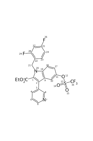 CCOC(=O)c1c(-c2cccnc2)c2cc(OS(=O)(=O)C(F)(F)F)ccc2n1Cc1ccc(F)cc1F